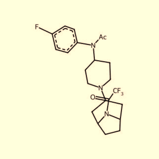 CC(=O)N(c1ccc(F)cc1)C1CCN(C2CC3CCC(C2)N3C(=O)C(F)(F)F)CC1